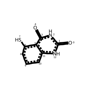 O=c1[nH]c(=O)c2c(S)cccc2[nH]1